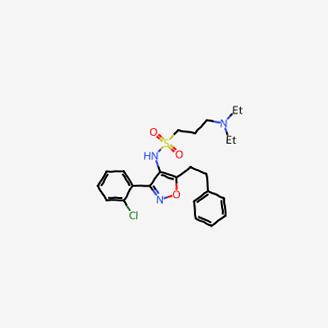 CCN(CC)CCCS(=O)(=O)Nc1c(-c2ccccc2Cl)noc1CCc1ccccc1